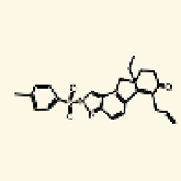 C=CCC1=C2c3ccc4nn(S(=O)(=O)c5ccc(C)cc5)cc4c3CC2(CC)CCC1=O